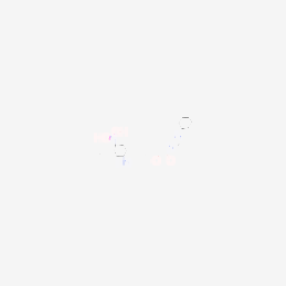 O=C(COC1CCC(Nc2ccc(N(O)O)c(C(F)(F)F)c2)CC1)N1CC2CC1CN2c1ccccc1